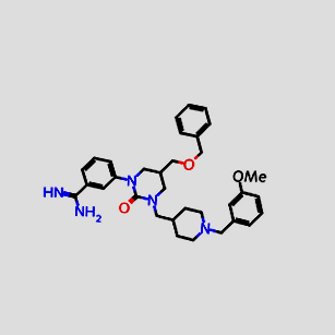 COc1cccc(CN2CCC(CN3CC(COCc4ccccc4)CN(c4cccc(C(=N)N)c4)C3=O)CC2)c1